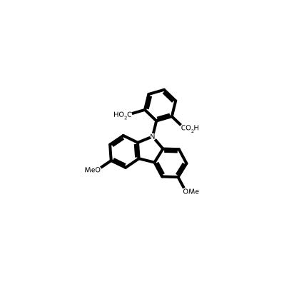 COc1ccc2c(c1)c1cc(OC)ccc1n2-c1c(C(=O)O)cccc1C(=O)O